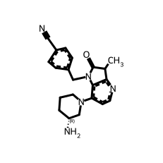 CC1C(=O)N(Cc2ccc(C#N)cc2)c2c(N3CCC[C@@H](N)C3)ccnc21